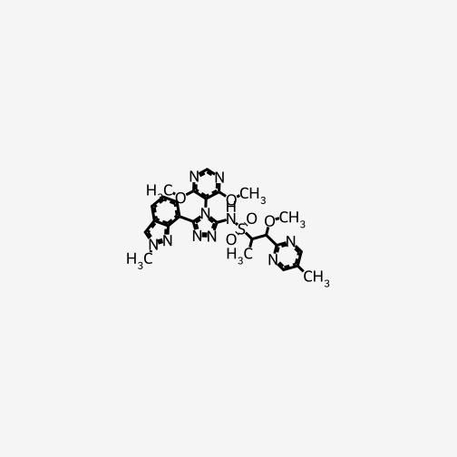 COc1ncnc(OC)c1-n1c(NS(=O)(=O)C(C)C(OC)c2ncc(C)cn2)nnc1-c1cccc2cn(C)nc12